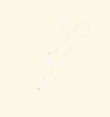 C=CC(=O)N1CCC(c2nc3ccc(-c4cncc5ccccc45)cc3c(=O)[nH]2)C1